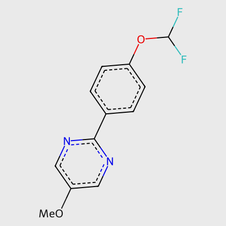 COc1cnc(-c2ccc(OC(F)F)cc2)nc1